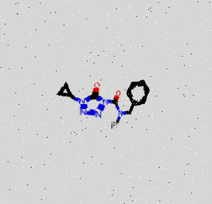 CC(C)N(Cc1ccccc1)C(=O)n1nnn(C2CC2)c1=O